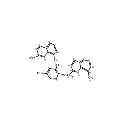 Cc1ccc(O)cc1C.Cc1ccc2cccc(O)c2n1.Cc1ccc2cccc(O)c2n1